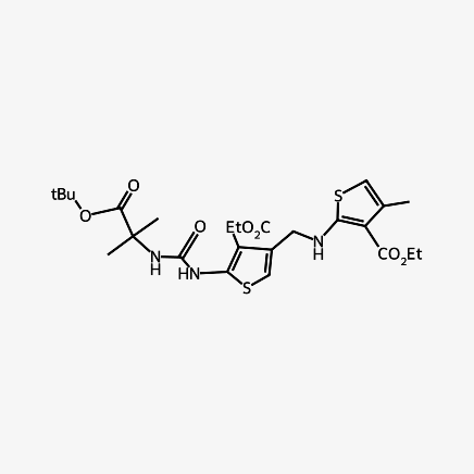 CCOC(=O)c1c(C)csc1NCc1csc(NC(=O)NC(C)(C)C(=O)OC(C)(C)C)c1C(=O)OCC